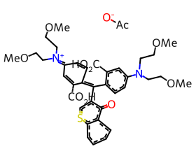 CC(=O)[O-].COCCN(CCOC)c1ccc(C(=C2C=CC(=[N+](CCOC)CCOC)C=C2C(=O)O)c2csc3ccccc3c2=O)c(C(=O)O)c1